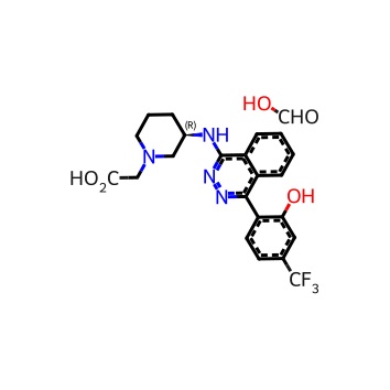 O=C(O)CN1CCC[C@@H](Nc2nnc(-c3ccc(C(F)(F)F)cc3O)c3ccccc23)C1.O=CO